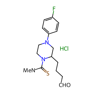 CNC(=S)N1CCN(c2ccc(F)cc2)CC1CCCC=O.Cl